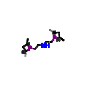 C[C@@H]1C[C@@H](C)P1CCNCCP1[C@H](C)C[C@H]1C